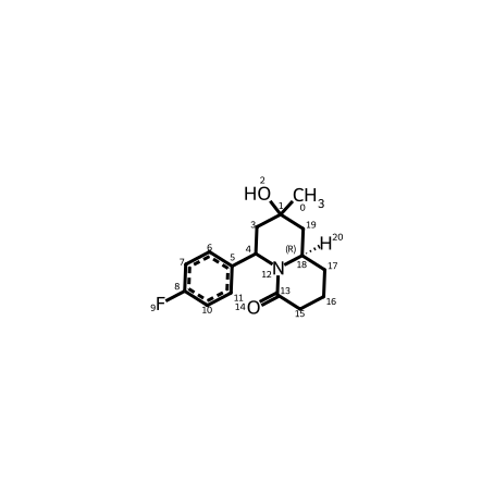 CC1(O)CC(c2ccc(F)cc2)N2C(=O)CCC[C@@H]2C1